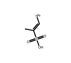 CCC/C=C(\C)S(=O)(=O)O